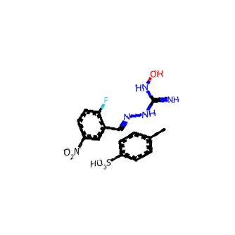 Cc1ccc(S(=O)(=O)O)cc1.N=C(NO)N/N=C/c1cc([N+](=O)[O-])ccc1F